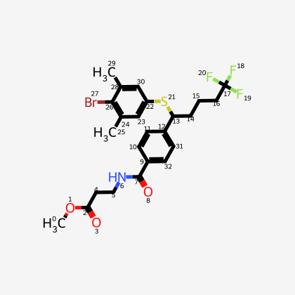 COC(=O)CCNC(=O)c1ccc(C(CCCC(F)(F)F)Sc2cc(C)c(Br)c(C)c2)cc1